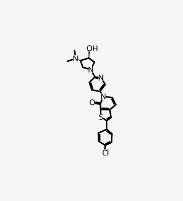 CN(C)[C@H]1CN(c2ccc(-n3ccc4cc(-c5ccc(Cl)cc5)sc4c3=O)cn2)C[C@@H]1O